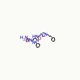 NC(=O)CNc1cc(NC(=O)CN2CCN(CC=Cc3ccccc3)CC2)nc(-c2ccccc2)n1